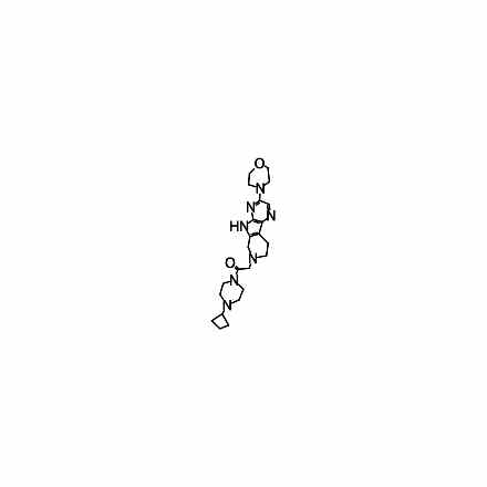 O=C(CN1CCc2c([nH]c3nc(N4CCOCC4)cnc23)C1)N1CCN(C2CCC2)CC1